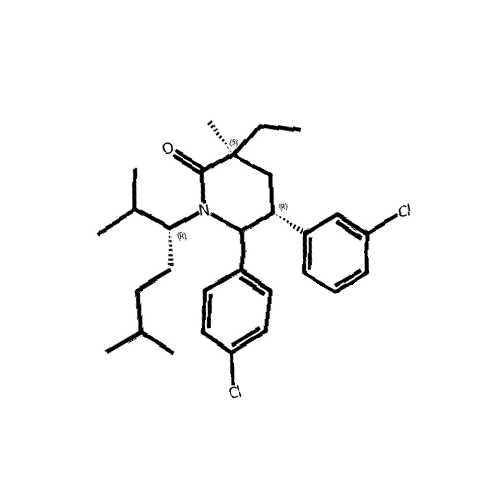 CC[C@@]1(C)C[C@H](c2cccc(Cl)c2)C(c2ccc(Cl)cc2)N([C@H](CCC(C)C)C(C)C)C1=O